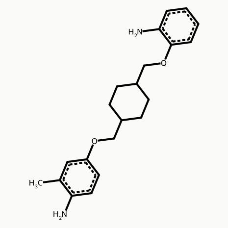 Cc1cc(OCC2CCC(COc3ccccc3N)CC2)ccc1N